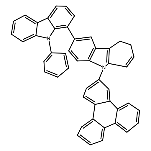 C1=Cc2c(c3cc(-c4cccc5c6ccccc6n(-c6ccccc6)c45)ccc3n2-c2ccc3c4ccccc4c4ccccc4c3c2)CC1